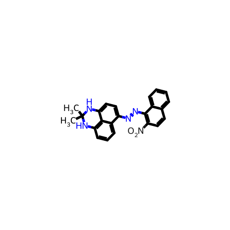 CC1(C)Nc2cccc3c(N=Nc4c([N+](=O)[O-])ccc5ccccc45)ccc(c23)N1